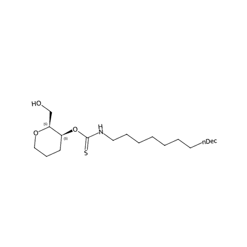 CCCCCCCCCCCCCCCCCNC(=S)O[C@H]1CCCO[C@H]1CO